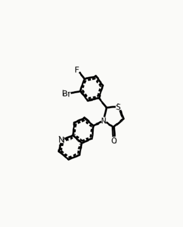 O=C1CSC(c2ccc(F)c(Br)c2)N1c1ccc2ncccc2c1